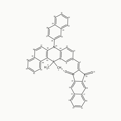 CC1(C)c2cc(C=C3C(=O)c4cc5ccccc5cc4C3=O)ccc2N(c2ccc3ccccc3c2)c2ccc3ccccc3c21